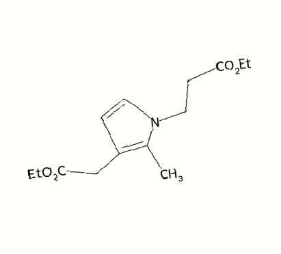 CCOC(=O)CCn1ccc(CC(=O)OCC)c1C